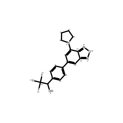 OC(c1ccc(-c2cc(N3CCCC3)c3nonc3c2)cc1)C(F)(F)F